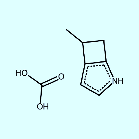 CC1Cc2[nH]ccc21.O=C(O)O